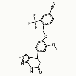 COc1cc(C2CC(=O)Nc3n[nH]cc32)ccc1OCc1ccc(C#N)cc1C(F)(F)F